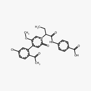 CCC(C(=O)Nc1ccc(C(=O)O)cc1)n1cc(OC)c(-c2cc(Cl)ccc2C(C)=O)cc1=O